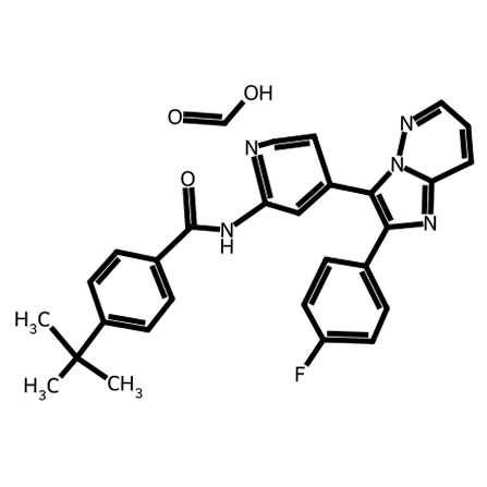 CC(C)(C)c1ccc(C(=O)Nc2cc(-c3c(-c4ccc(F)cc4)nc4cccnn34)ccn2)cc1.O=CO